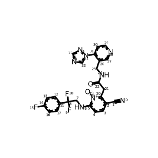 N#Cc1ccc(NCC(F)(F)c2ccc(F)cc2)[n+]([O-])c1CC(=O)NCc1cnccc1-n1cncn1